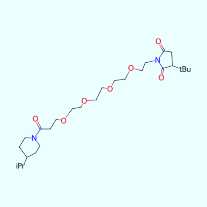 CC(C)C1CCN(C(=O)CCOCCOCCOCCOCCN2C(=O)CC(C(C)(C)C)C2=O)CC1